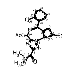 CCc1cc2c(s1)-n1nc(C(=O)N(C)C)nc1C(OC(C)=O)N=C2c1ccccc1Cl